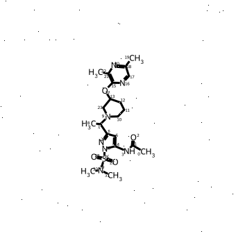 CC(=O)Nc1cc(C(C)N2CCCC(Oc3ncc(C)nc3C)C2)nn1S(=O)(=O)N(C)C